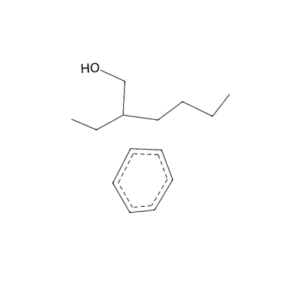 CCCCC(CC)CO.c1ccccc1